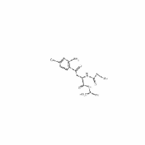 CC(C)[C@H](NC(=O)C(CC(=O)c1ccc(Cl)cc1N)NC(=O)OC(C)(C)C)C(=O)O